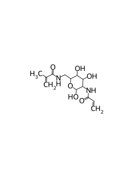 C=CC(=O)NC1C(O)OC(CNC(=O)C(=C)C)C(O)C1O